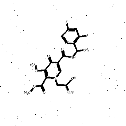 COC(=O)c1c(OC)c(=O)c(C(=O)NC(C)c2ccc(F)cc2F)cn1CC(O)O